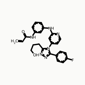 C=CC(=O)Nc1cccc(Nc2cc(-n3c(CCCO)nnc3-c3ccc(F)cc3)ccn2)c1